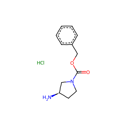 Cl.N[C@@H]1CCN(C(=O)OCc2ccccc2)C1